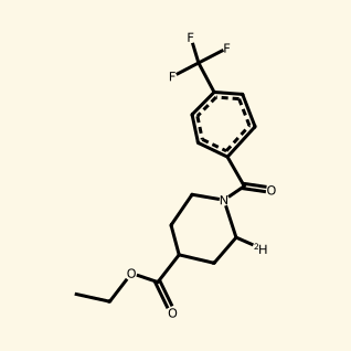 [2H]C1CC(C(=O)OCC)CCN1C(=O)c1ccc(C(F)(F)F)cc1